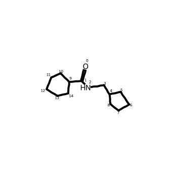 O=C(NCC1CCCC1)C1CCCCC1